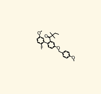 CCC(C)(C)C(=O)c1cc(OCc2ccc(OC)cc2)ccc1-c1cc(OC)ccc1F